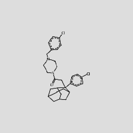 O=C(CC1(c2ccc(Cl)cc2)C2CC3CC(C2)CC1C3)N1CCN(Cc2ccc(Cl)cc2)CC1